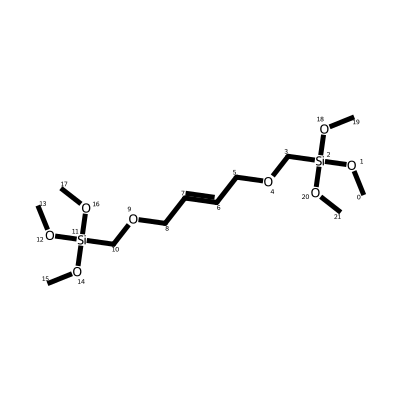 CO[Si](COC/C=C/COC[Si](OC)(OC)OC)(OC)OC